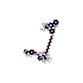 Cc1ncsc1-c1ccc(CNC(=O)[C@@H]2C[CH]CN2C(=O)[C@@H](NC(=O)CCCCCCCCCCOc2cc(F)c([C@@H]3c4[nH]c5ccccc5c4C[C@@H](C)N3CC(C)(C)F)c(F)c2)C(C)(C)C)cc1